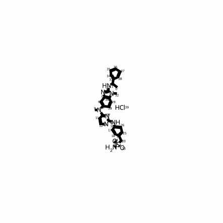 CC(Nc1nc2cc(N(C)c3ccnc(Nc4ccc(CS(N)(=O)=O)cc4)n3)ccc2n1C)c1ccccc1.Cl